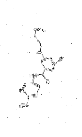 COCCOc1cc(Br)cc(C(=O)Nc2cnc(C(C)(C)C)nc2)c1